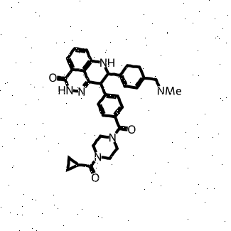 CNCC1=CC=C(C2Nc3cccc4c(=O)[nH]nc(c34)C2c2ccc(C(=O)N3CCN(C(=O)C4CC4)CC3)cc2)CC1